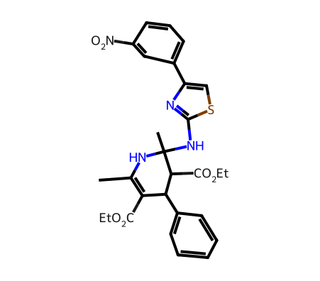 CCOC(=O)C1=C(C)NC(C)(Nc2nc(-c3cccc([N+](=O)[O-])c3)cs2)C(C(=O)OCC)C1c1ccccc1